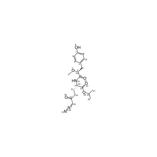 CO[C@@H](Cc1ccc(O)cc1)C(=O)N[C@@H](CCC(=O)C=[N+]=[N-])C(=O)OC(C)C